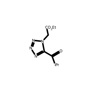 CCOC(=O)Cn1nnnc1C(=O)C(C)C